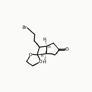 O=C1C[C@@H]2C(CCBr)C3(OCCO3)[C@@H]2C1